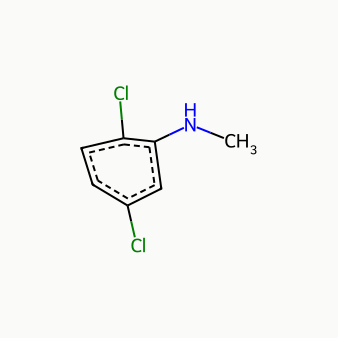 CNc1cc(Cl)ccc1Cl